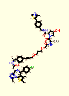 Cc1ncsc1-c1ccc(CNC(=O)[C@@H]2C[C@@H](O)CN2C(=O)[C@@H](NC(=O)COCCCOCC#Cc2ccc([C@H](C)NC(=O)C[C@@H]3N=C(c4ccc(Cl)cc4)c4c(sc(C)c4C)-n4c(C)nnc43)cc2)C(C)(C)C)cc1